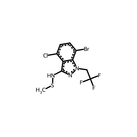 CSNc1nn(CC(F)(F)F)c2c(Br)ccc(Cl)c12